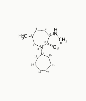 CNC1CCC(C)CN(C2CCCCCC2)C1=O